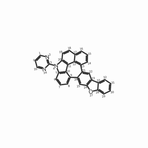 c1cnc(-n2c3cccc4c3c3c5c(cccc5ccc32)-c2cc3c(cc2-4)oc2ccccc23)nc1